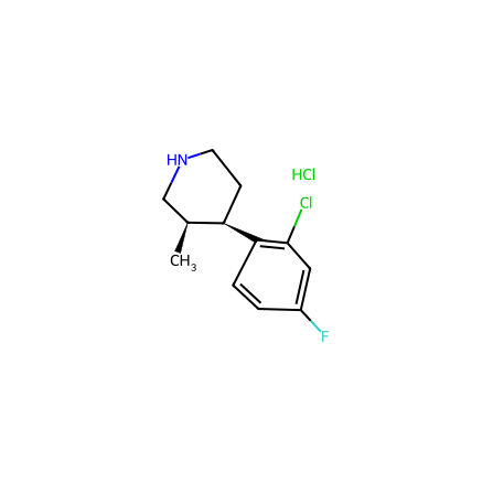 C[C@H]1CNCC[C@H]1c1ccc(F)cc1Cl.Cl